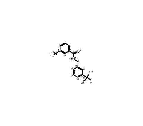 Nc1c[c]cc(C(=O)NCc2cccc(C(F)(F)F)c2)c1